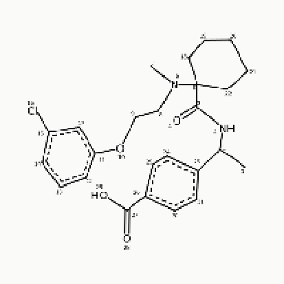 CC(NC(=O)C1(N(C)CCOc2cccc(Cl)c2)CCCCC1)c1ccc(C(=O)O)cc1